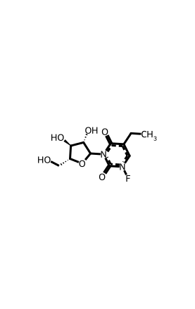 CCc1cn(F)c(=O)n(C2O[C@H](CO)[C@@H](O)[C@@H]2O)c1=O